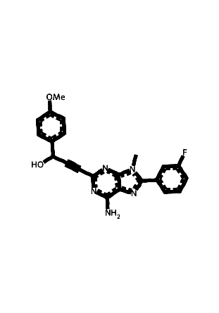 COc1ccc(C(O)C#Cc2nc(N)c3nc(-c4cccc(F)c4)n(C)c3n2)cc1